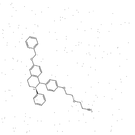 NCCOCCOc1ccc(C2c3ccc(OCc4ccccc4)cc3CC[C@@H]2c2ccccc2)cc1